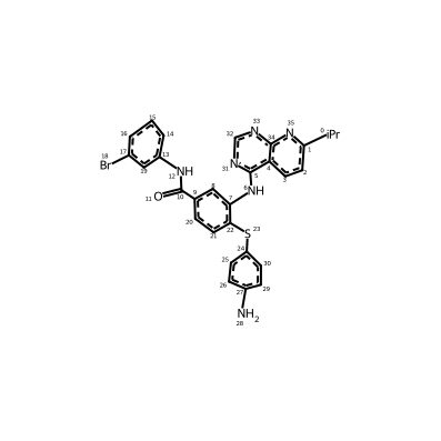 CC(C)c1ccc2c(Nc3cc(C(=O)Nc4cccc(Br)c4)ccc3Sc3ccc(N)cc3)ncnc2n1